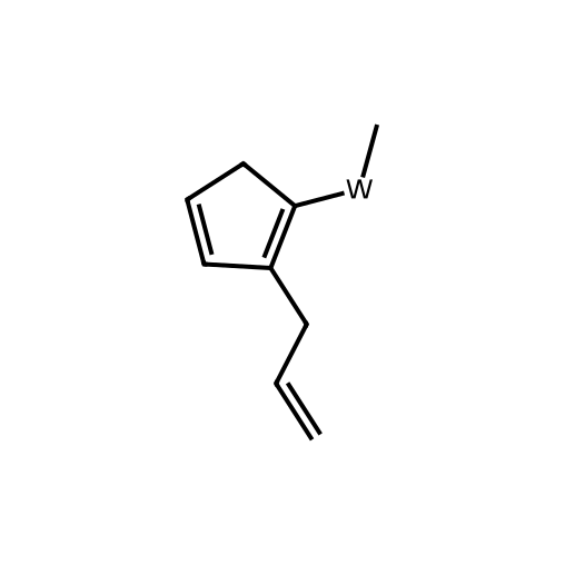 C=CCC1=[C]([W][CH3])CC=C1